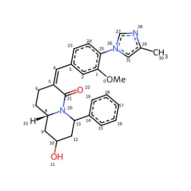 COc1cc(C=C2CC[C@H]3CC(O)CC(c4ccccc4)N3C2=O)ccc1-n1cnc(C)c1